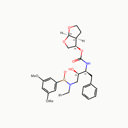 COc1cc(OC)cc([S+]([O-])N(CC(C)C)C[C@@H](O)[C@H](Cc2ccccc2)NC(=O)O[C@H]2CO[C@H]3OCC[C@H]32)c1